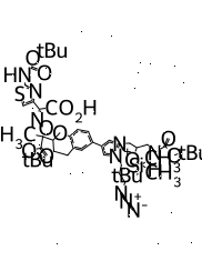 CC(C)(C)OC(=O)NCC(Cn1cc(-c2ccc3c(c2)CCC(C(C)(O/N=C(\C(=O)O)c2csc(NC(=O)OC(C)(C)C)n2)C(=O)OC(C)(C)C)O3)c[n+]1CCCN=[N+]=[N-])O[Si](C)(C)C(C)(C)C